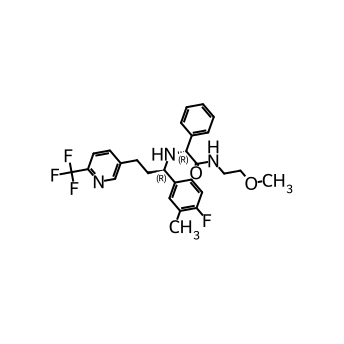 COCCNC(=O)[C@H](N[C@H](CCc1ccc(C(F)(F)F)nc1)c1ccc(F)c(C)c1)c1ccccc1